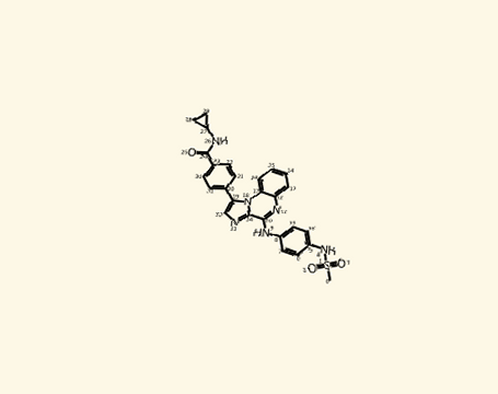 CS(=O)(=O)Nc1ccc(Nc2nc3ccccc3n3c(-c4ccc(C(=O)NC5CC5)cc4)cnc23)cc1